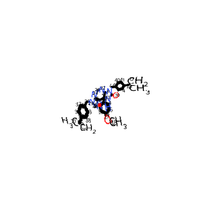 C=C(C)c1ccc(CN2C(=O)NC3(c4ccc(OC)cc4)C2=NC=Nc2c3ncn2Cc2ccc(C(=C)C)cc2)cc1